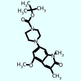 COc1cc(N2CCN(C(=O)OC(C)(C)C)CC2)cc2c1cc(C)c(=O)n2C